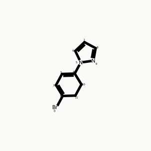 BrC1=CC=C(n2cccn2)CC1